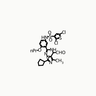 CCCOc1ccc(NS(=O)(=O)c2cc(Cl)sc2Cl)cc1C1=Nn2c(C3CCCC3)nc(C)c2C(C=O)N1